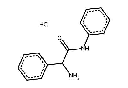 Cl.NC(C(=O)Nc1ccccc1)c1ccccc1